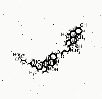 C[C@H](CCC(=O)O[C@@H]1CC[C@@]2(C)[C@@H](C1)C[C@H](O)[C@@H]1[C@@H]2C[C@H](O)[C@]2(C)[C@@H]([C@H](C)CCC(=O)NCCS(=O)(=O)O)CC[C@@H]12)[C@H]1CC[C@H]2[C@@H]3[C@H](O)C[C@@H]4C[C@H](O)CC[C@]4(C)[C@H]3C[C@H](O)[C@]12C